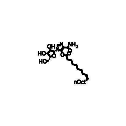 CCCCCCCC/C=C\CCCCCCCC(=O)Oc1c(C(N)=O)ncn1[C@@H]1O[C@H](CO)[C@@H](O)[C@H]1O